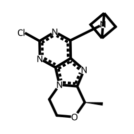 C[C@H]1OCCn2c1nc1c(N3CC4CC3C4)nc(Cl)nc12